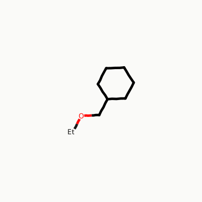 CCOC[C]1CCCCC1